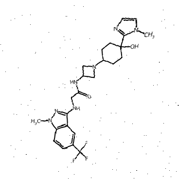 Cn1ccnc1C1(O)CCC(N2CC(NC(=O)CNc3nn(C)c4ccc(C(F)(F)F)cc34)C2)CC1